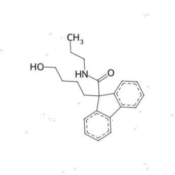 CCCNC(=O)C1(CCCCO)c2ccccc2-c2ccccc21